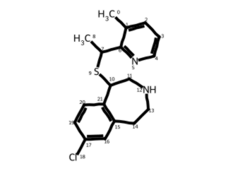 Cc1cccnc1C(C)SC1CNCCc2cc(Cl)ccc21